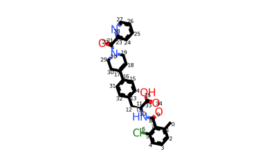 Cc1cccc(Cl)c1C(=O)N[C@@H](Cc1ccc(C2=CCN(C(=O)c3ccccn3)CC2)cc1)C(=O)O